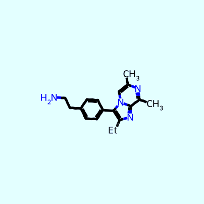 CCc1nc2c(C)nc(C)cn2c1-c1ccc(CCN)cc1